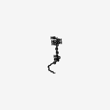 CCCCC/C=C\C/C=C\CCCCO[C@H](CO)CN(C)CC(=O)NCCOCCOCCO[C@H](O)C(O)C(O)[C@H](O)[C@H](C)CO